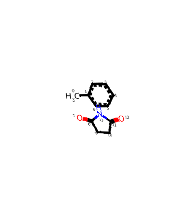 Cc1ccccc1.O=C1CCC(=O)N1